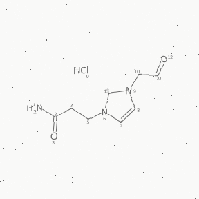 Cl.NC(=O)CCN1C=CN(CC=O)C1